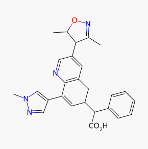 CC1=NOC(C)C1c1cnc2c(c1)CC(C(C(=O)O)c1ccccc1)C=C2c1cnn(C)c1